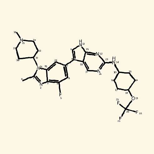 Cc1nc2c(F)cc(-c3c[nH]c4nc(NC5CCC(OC(F)(F)F)CC5)ncc34)cc2n1C1CCN(C)CC1